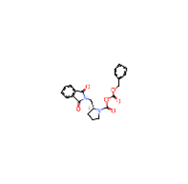 O=C(OCc1ccccc1)OC(=O)N1CCC[C@H]1CN1C(=O)c2ccccc2C1=O